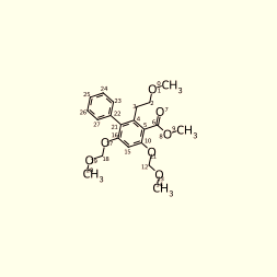 COCCc1c(C(=O)OC)c(OCOC)cc(OCOC)c1-c1ccccc1